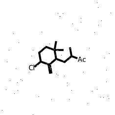 C=C1C(Cl)CCC(C)(C)C1CC(C)C(C)=O